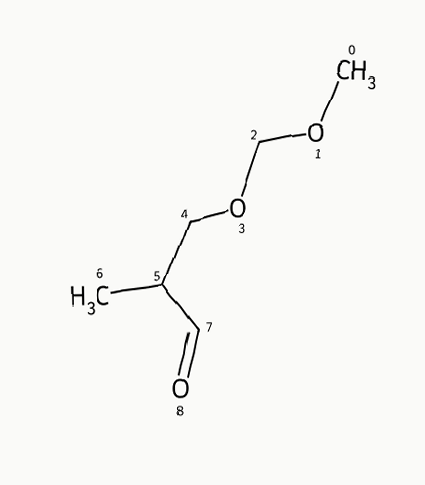 COCOCC(C)C=O